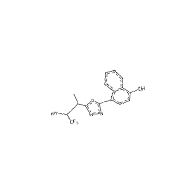 CCCC(C(C)c1nnc(-c2ccc(O)c3ccccc23)o1)C(F)(F)F